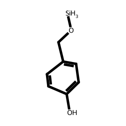 Oc1ccc(CO[SiH3])cc1